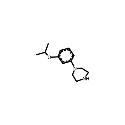 CC(C)Oc1cccc(N2CCNCC2)c1